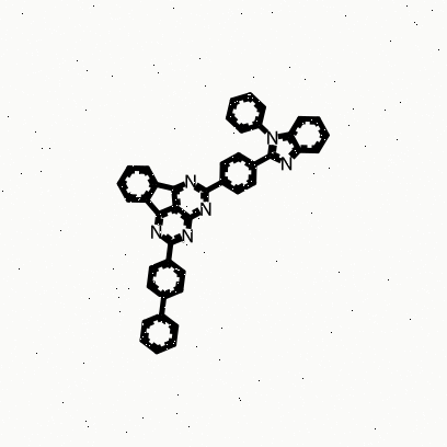 c1ccc(-c2ccc(-c3nc4c5c(nc(-c6ccc(-c7nc8ccccc8n7-c7ccccc7)cc6)nc5n3)-c3ccccc3-4)cc2)cc1